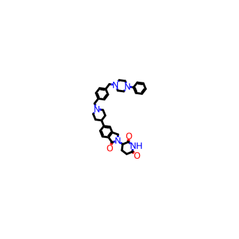 O=C1CCC(N2Cc3cc(C4CCN(Cc5ccc(CN6CCN(c7ccccc7)CC6)cc5)CC4)ccc3C2=O)C(=O)N1